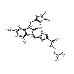 CCN(CC)CCNC(=O)c1c[nH]c(/C=C2\C(=O)N(Cc3cc(C)n(C)n3)c3nc(N)nc(Cl)c32)c1